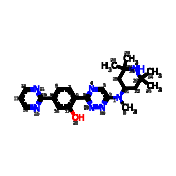 CN(c1cnc(-c2ccc(-c3ncccn3)cc2O)nn1)C1CC(C)(C)NC(C)(C)C1